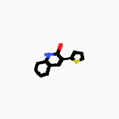 O=c1[nH]c2ccccc2cc1-c1cccs1